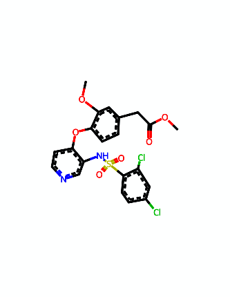 COC(=O)Cc1ccc(Oc2ccncc2NS(=O)(=O)c2ccc(Cl)cc2Cl)c(OC)c1